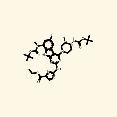 CCOC(=O)c1csc(Nc2nc(N3CC[C@@H](NC(=O)OC(C)(C)C)[C@H](C)C3)c3c(n2)[nH]c2c(N(C)C(=O)OC(C)(C)C)cc(F)cc23)n1